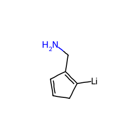 [Li][C]1=C(CN)C=CC1